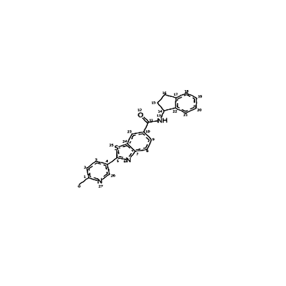 Cc1ccc(-c2nc3ccc(C(=O)NC4CCc5ccccc54)cc3s2)cn1